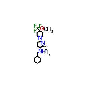 COC1(C(F)(F)F)CCN(c2ccc(NCC3CCCCC3)c(C)n2)CC1